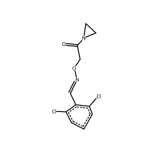 O=C(CON=Cc1c(Cl)cccc1Cl)N1CC1